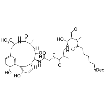 CCCCCCCCCCCCCCCC(=O)N(C)[C@H](CO)C(O)NCC(C)C(=O)NCC(=O)N[C@@H]1C(O)N[C@@H](C)C(=O)N[C@H](C(=O)O)CC2=CC[C@H](O)C(=C2)C2=C(O)C=C[C@H]1C2